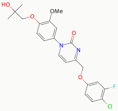 COc1cc(-n2ccc(COc3ccc(Cl)c(F)c3)nc2=O)ccc1OCC(C)(C)O